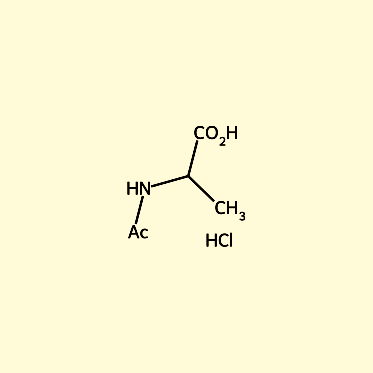 CC(=O)NC(C)C(=O)O.Cl